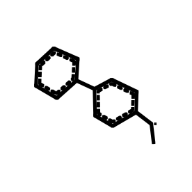 C[CH]c1ccc(-c2ccccc2)cc1